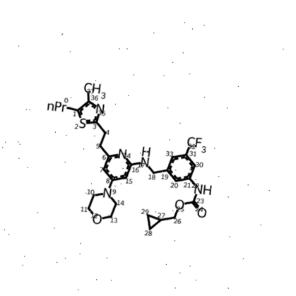 CCCc1sc(CCc2cc(N3CCOCC3)cc(NCc3cc(NC(=O)OCC4CC4)cc(C(F)(F)F)c3)n2)nc1C